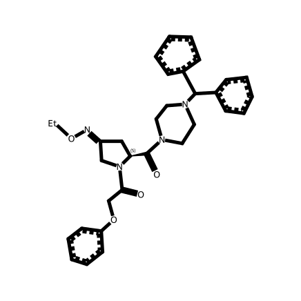 CCON=C1C[C@@H](C(=O)N2CCN(C(c3ccccc3)c3ccccc3)CC2)N(C(=O)COc2ccccc2)C1